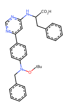 CC(C)(C)ON(Cc1ccccc1)c1ccc(-c2cc(NC(Cc3ccccc3)C(=O)O)ncn2)cc1